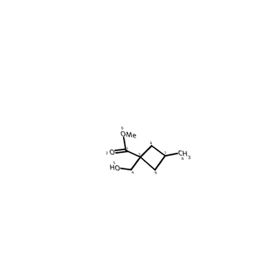 COC(=O)C1(CO)CC(C)C1